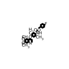 COc1cc2nccc(Oc3cc(C)c(NC(=O)OCc4ccc(F)cc4)cc3C)c2cc1OC